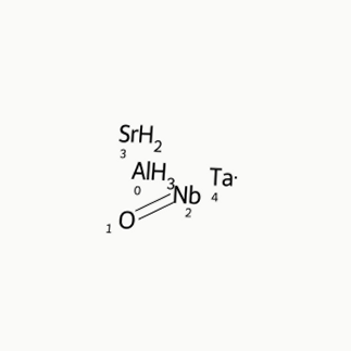 [AlH3].[O]=[Nb].[SrH2].[Ta]